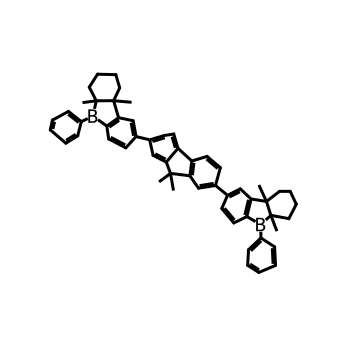 CC1(C)c2cc(-c3ccc4c(c3)C3(C)CCCCC3(C)B4c3ccccc3)ccc2-c2ccc(-c3ccc4c(c3)C3(C)CCCCC3(C)B4c3ccccc3)cc21